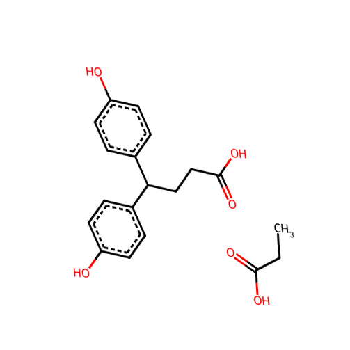 CCC(=O)O.O=C(O)CCC(c1ccc(O)cc1)c1ccc(O)cc1